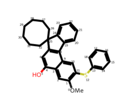 COc1cc2c(O)cc3c(c2cc1Sc1ccccc1)-c1ccccc1C31CCCCCCC1